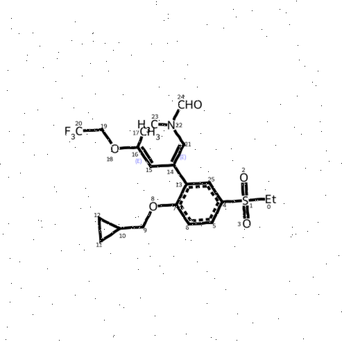 CCS(=O)(=O)c1ccc(OCC2CC2)c(C(/C=C(\C)OCC(F)(F)F)=C/N(C)C=O)c1